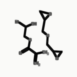 C(OCC1CO1)C1CO1.C=C(C)C(=O)OCC(O)CC